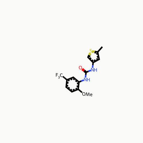 COc1ccc(C(F)(F)F)cc1NC(=O)Nc1csc(C)c1